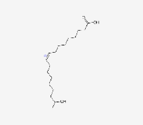 CC(O)CCCCCC/C=C\CCCCCCCC(=O)O